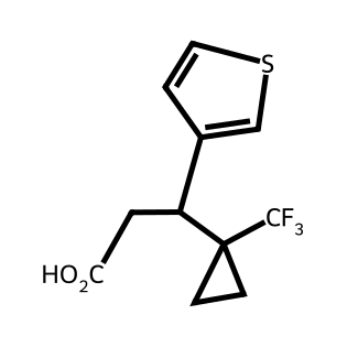 O=C(O)CC(c1ccsc1)C1(C(F)(F)F)CC1